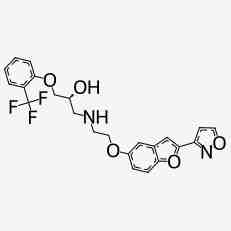 O[C@@H](CNCCOc1ccc2oc(-c3ccon3)cc2c1)COc1ccccc1C(F)(F)F